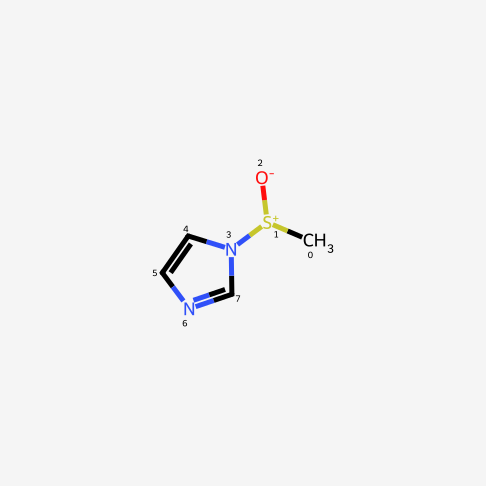 C[S+]([O-])n1ccnc1